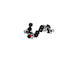 COC(=O)N[C@H](C(=O)N1CCC[C@H]1c1nc2ccc3cc(-c4ccc5c(ccc6nc([C@@H]7[C@H]8CC[C@H](C8)N7C(=O)[C@H](NC(=O)OC)c7ccc(C8CCCC8)cc7)[nH]c65)c4)ccc3c2[nH]1)C(C)C